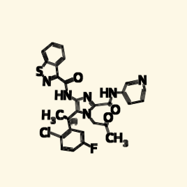 CC(=O)Cn1c(C(=O)Nc2cccnc2)nc(NC(=O)c2nsc3ccccc23)c1[C@H](C)c1cc(F)ccc1Cl